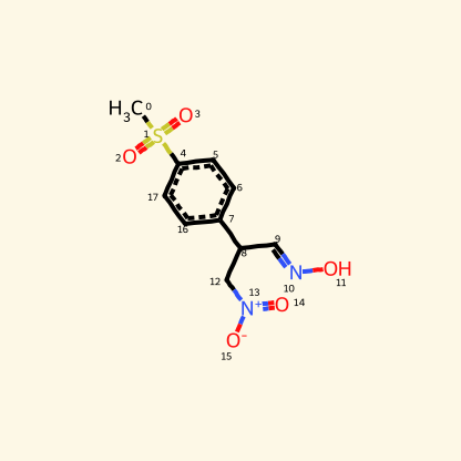 CS(=O)(=O)c1ccc(C(C=NO)C[N+](=O)[O-])cc1